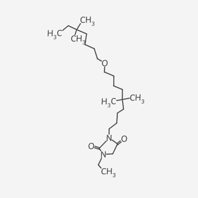 CCN1CC(=O)N(CCCCC(C)(C)CCCCOCCCCC(C)(C)CC)C1=O